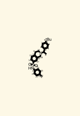 CC(c1ccc(C(C)(C)C)cc1)N1CCc2ccc(S(=O)(=O)Nc3ccc(F)cc3)cc2C1